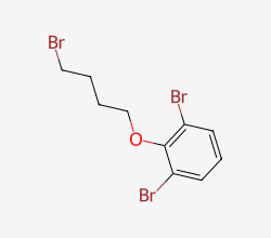 BrCCCCOc1c(Br)cccc1Br